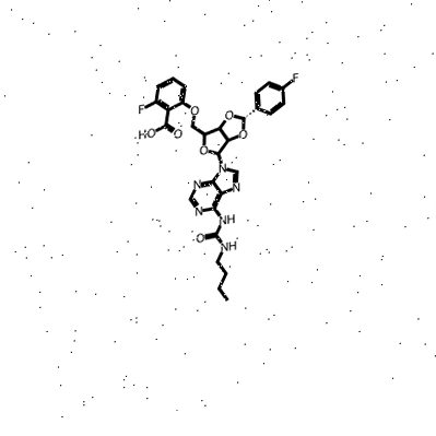 CCCCNC(=O)Nc1ncnc2c1ncn2C1OC(COc2cccc(F)c2C(=O)O)C2O[C@H](c3ccc(F)cc3)OC21